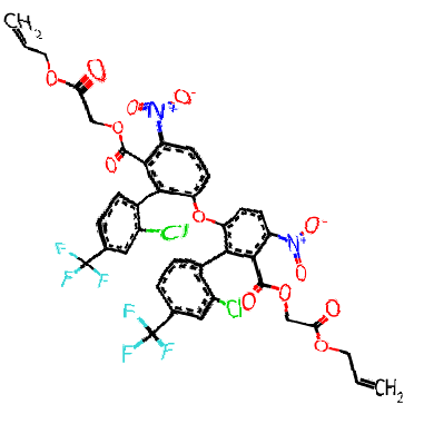 C=CCOC(=O)COC(=O)c1c([N+](=O)[O-])ccc(Oc2ccc([N+](=O)[O-])c(C(=O)OCC(=O)OCC=C)c2-c2ccc(C(F)(F)F)cc2Cl)c1-c1ccc(C(F)(F)F)cc1Cl